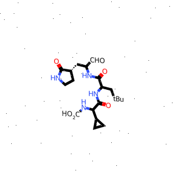 CC(C)(C)CC(NC(=O)C(NC(=O)O)C1CC1)C(=O)NC(C=O)C[C@@H]1CCNC1=O